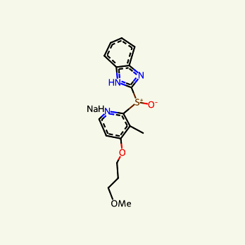 COCCCOc1ccnc([S+]([O-])c2nc3ccccc3[nH]2)c1C.[NaH]